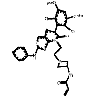 C=CC(=O)NC1CN(CCn2c(=O)c(-c3c(Cl)c(OC)cc(OC)c3Cl)cc3cnc(Nc4ccccc4)nc32)C1